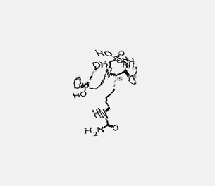 NC(=O)NCCC[C@@H](C(N)=O)N(CP(=O)(O)O)CP(=O)(O)O